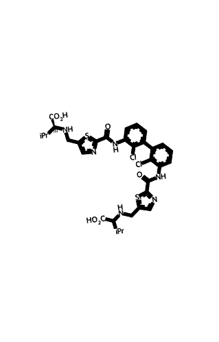 CC(C)C(NCc1cnc(C(=O)Nc2cccc(-c3cccc(NC(=O)c4ncc(CN[C@H](C(=O)O)C(C)C)s4)c3Cl)c2Cl)s1)C(=O)O